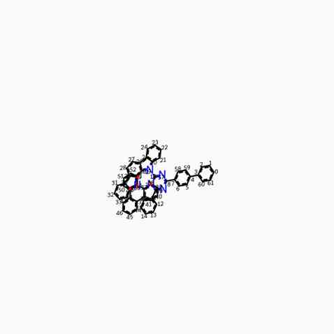 c1ccc(-c2ccc(-c3nc(-c4ccccc4)nc(-n4c5ccccc5c5ccc6c7ccccc7n(-c7ccccc7-c7ccccc7-c7ccccc7)c6c54)n3)cc2)cc1